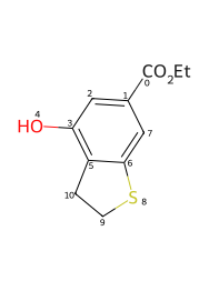 CCOC(=O)c1cc(O)c2c(c1)SCC2